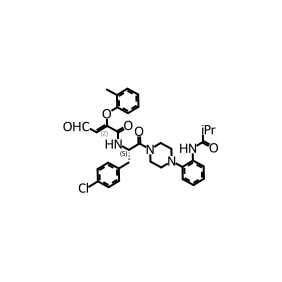 Cc1ccccc1O/C(=C\C=O)C(=O)N[C@@H](Cc1ccc(Cl)cc1)C(=O)N1CCN(c2ccccc2NC(=O)C(C)C)CC1